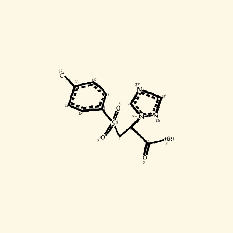 CC(C)(C)C(=O)C(CS(=O)(=O)c1ccc(Cl)cc1)n1cncn1